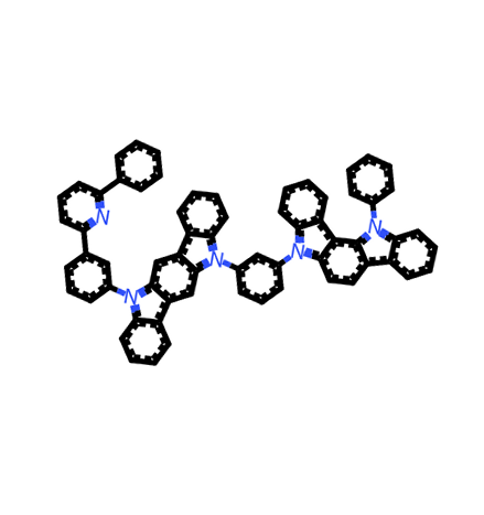 c1ccc(-c2cccc(-c3cccc(-n4c5ccccc5c5cc6c(cc54)c4ccccc4n6-c4cccc(-n5c6ccccc6c6c5ccc5c7ccccc7n(-c7ccccc7)c56)c4)c3)n2)cc1